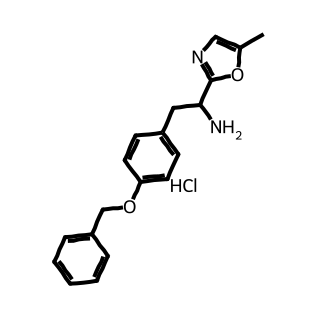 Cc1cnc(C(N)Cc2ccc(OCc3ccccc3)cc2)o1.Cl